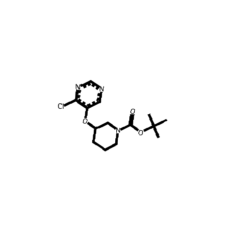 CC(C)(C)OC(=O)N1CCCC(Oc2cncnc2Cl)C1